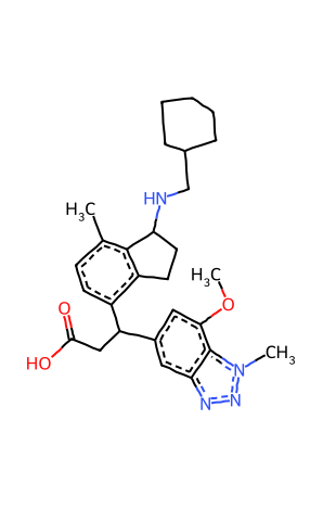 COc1cc(C(CC(=O)O)c2ccc(C)c3c2CCC3NCC2CCCCC2)cc2nnn(C)c12